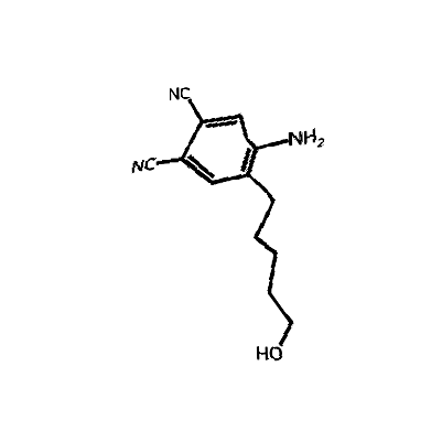 N#Cc1cc(N)c(CCCCCO)cc1C#N